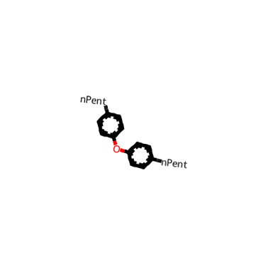 CCCCCc1ccc(Oc2ccc(CCCCC)cc2)cc1